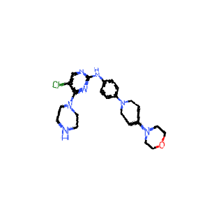 Clc1cnc(Nc2ccc(N3CCC(N4CCOCC4)CC3)cc2)nc1N1CCNCC1